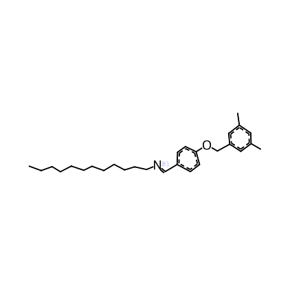 CCCCCCCCCCCC/N=C/c1ccc(OCc2cc(C)cc(C)c2)cc1